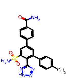 Cc1ccc(-c2cc(-c3ccc(C(N)=O)cc3)cc(S(N)(=O)=O)c2-c2nn[nH]n2)cc1